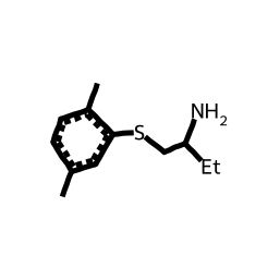 CCC(N)CSc1cc(C)ccc1C